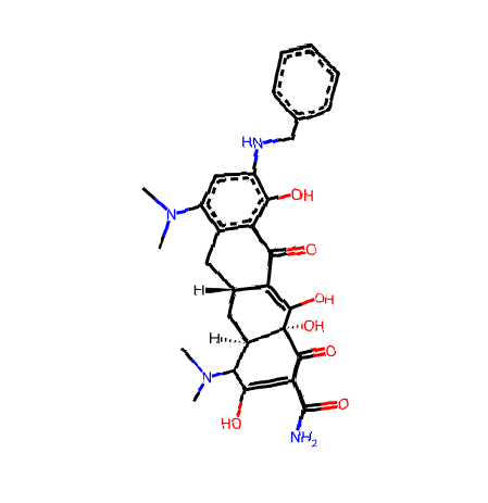 CN(C)c1cc(NCc2ccccc2)c(O)c2c1C[C@H]1C[C@@H]3C(N(C)C)C(O)=C(C(N)=O)C(=O)[C@]3(O)C(O)=C1C2=O